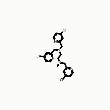 CN(CCN(Cc1cc(Cl)ccn1)Cc1cc(Cl)ccn1)Cc1cc(Cl)ccn1